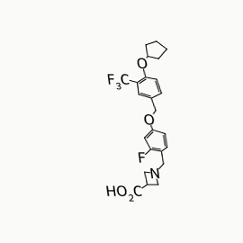 O=C(O)C1CN(Cc2ccc(OCc3ccc(OC4CCCC4)c(C(F)(F)F)c3)cc2F)C1